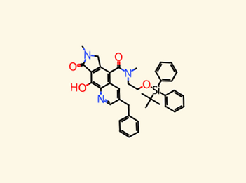 CN1Cc2c(c(O)c3ncc(Cc4ccccc4)cc3c2C(=O)N(C)CCO[Si](c2ccccc2)(c2ccccc2)C(C)(C)C)C1=O